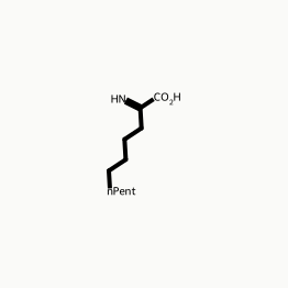 CCCCCCCCCC(=N)C(=O)O